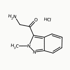 Cl.Cn1nc2ccccc2c1C(=O)CN